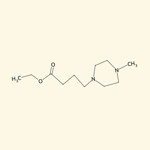 CCOC(=O)CCCN1CCN(C)CC1